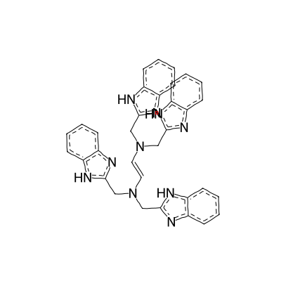 C(=C\N(Cc1nc2ccccc2[nH]1)Cc1nc2ccccc2[nH]1)/N(Cc1nc2ccccc2[nH]1)Cc1nc2ccccc2[nH]1